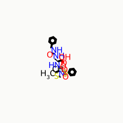 CC1(C)SCN(S(=O)(=O)c2ccccc2)[C@H]1C(=O)N[C@@H](CNC(=O)NCc1ccccc1)C(=O)O